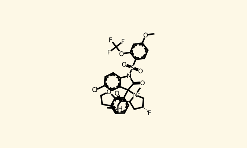 CNC(=O)[C@@H]1C[C@@H](F)C[N+]1(C)C1(c2cccc3c2OCC3)C(=O)N(S(=O)(=O)c2ccc(OC)cc2OC(F)(F)F)c2ccc(Cl)cc21